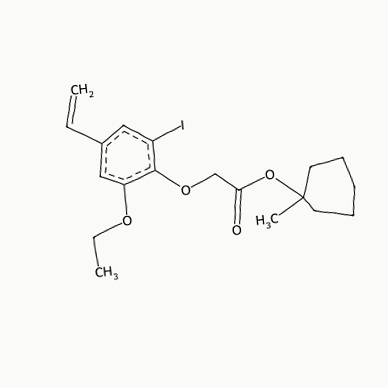 C=Cc1cc(I)c(OCC(=O)OC2(C)CCCCC2)c(OCC)c1